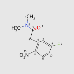 CN(C)C(=O)Cc1cc(F)ccc1[N+](=O)[O-]